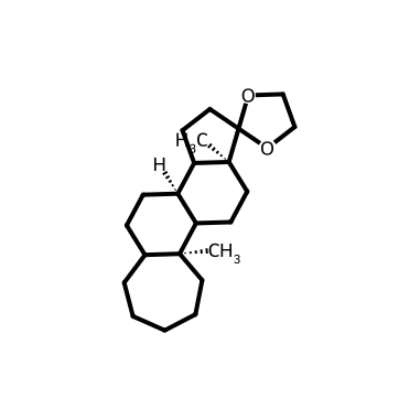 C[C@]12CCCCCC1CC[C@@H]1C2CC[C@@]2(C)C1CCC21OCCO1